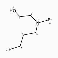 CCN(CCO)CCCF